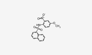 COc1ccc(NS(=O)(=O)c2cccc3ccccc23)c([N+](=O)[O-])c1